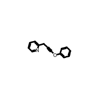 C(#COc1ccccc1)Cc1ccccn1